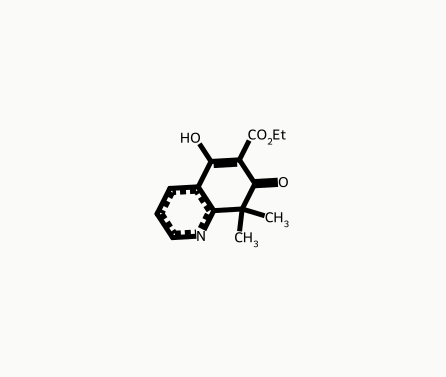 CCOC(=O)C1=C(O)c2cccnc2C(C)(C)C1=O